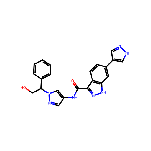 O=C(Nc1cnn(C(CO)c2ccccc2)c1)c1n[nH]c2cc(-c3cn[nH]c3)ccc12